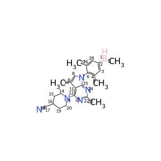 CBc1cc(C)c(-n2cc(C)c3c(N4CCC(C#N)CC4)nc(C)nc32)c(C)c1